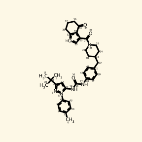 Cc1ccc(-n2nc(C(C)(C)C)cc2NC(=O)Nc2ccc(CC3CCN(C(=O)c4coc5c4C(=O)CCC5)CC3)cc2)cc1